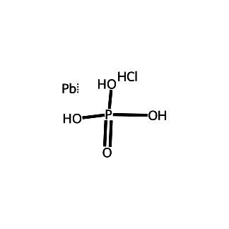 Cl.O=P(O)(O)O.[Pb]